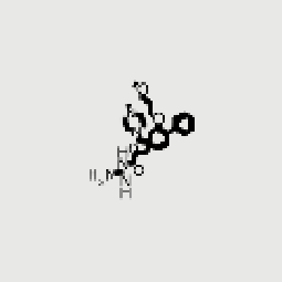 COCCCOC1=C(c2ccccc2)C=CC(CCC(=O)NC(=N)N)(C(=O)N2CCN(C)CC2)C1